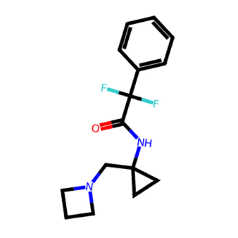 O=C(NC1(CN2CCC2)CC1)C(F)(F)c1ccccc1